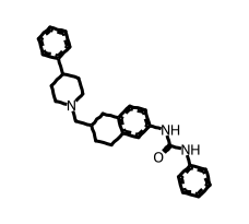 O=C(Nc1ccccc1)Nc1ccc2c(c1)CCC(CN1CCC(c3ccccc3)CC1)C2